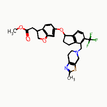 COC(=O)CC1COc2cc(OC3CCc4c3ccc(C(F)(F)F)c4CN3CCc4nc(C)sc4C3)ccc21